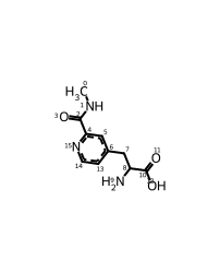 CNC(=O)c1cc(CC(N)C(=O)O)ccn1